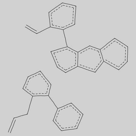 C=CCc1ccccc1-c1ccccc1.C=Cc1ccccc1-c1cccc2cc3ccccc3cc12